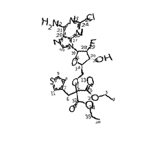 CCOC(=O)C(Cc1ccsc1)(OC[C@H]1O[C@@H](n2cnc3c(N)nc(Cl)nc32)[C@@H](F)[C@@H]1O)C(=O)OCC